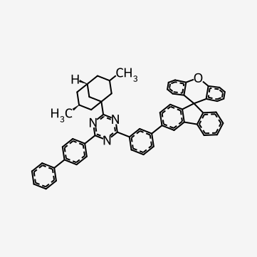 CC1C[C@H]2C[C@H](C)CC(c3nc(-c4ccc(-c5ccccc5)cc4)nc(-c4cccc(-c5ccc6c(c5)-c5ccccc5C65c6ccccc6Oc6ccccc65)c4)n3)(C1)C2